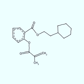 C=C(C)C(=O)Oc1ccccc1C(=O)OCCC1CCCCC1